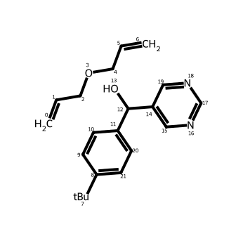 C=CCOCC=C.CC(C)(C)c1ccc(C(O)c2cncnc2)cc1